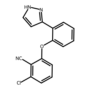 N#Cc1c(Cl)cccc1Oc1ccccc1-c1cc[nH]n1